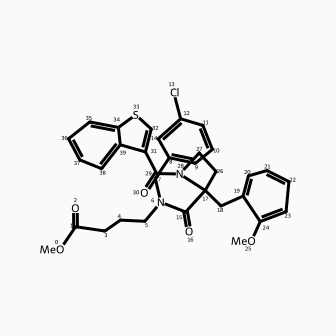 COC(=O)CCCN(Cc1cccc(Cl)c1)C(=O)C1(Cc2ccccc2OC)CCN1C(=O)c1csc2ccccc12